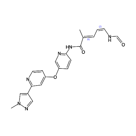 C/C(=C\C=C/NC=O)C(=O)Nc1ccc(Oc2ccnc(-c3cnn(C)c3)c2)cn1